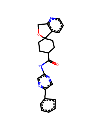 O=C(Nc1cnc(-c2ccccc2)cn1)C1CCC2(CC1)OCc1ncccc12